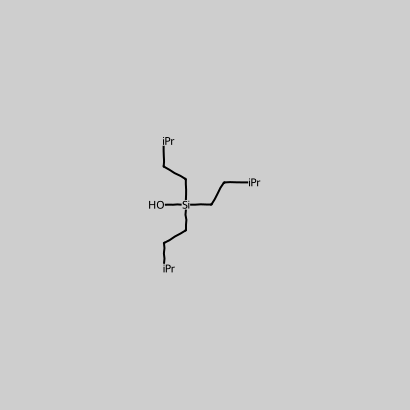 CC(C)CC[Si](O)(CCC(C)C)CCC(C)C